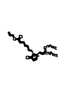 C=CCOC(=O)C=CC=CCC[C@H]1C(=O)C=C[C@@H]1CC[C@@H](CCCCC)OCCCCC